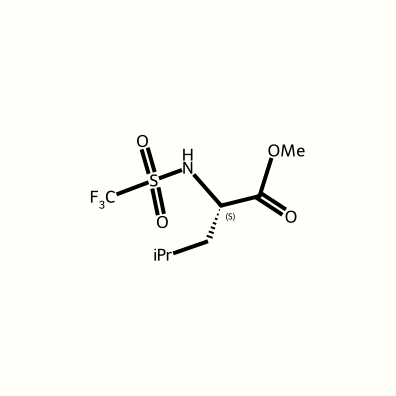 COC(=O)[C@H](CC(C)C)NS(=O)(=O)C(F)(F)F